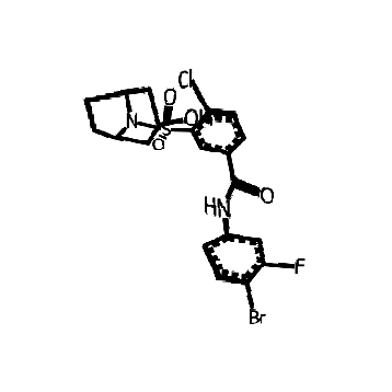 O=C(Nc1ccc(Br)c(F)c1)c1ccc(Cl)c(S(=O)(=O)N2C3CCC2CC(O)C3)c1